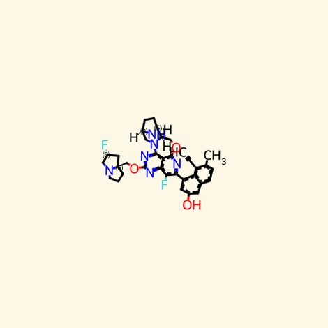 C#Cc1c(C)ccc2cc(O)cc(-c3nc4c5c(nc(OC[C@@]67CCCN6C[C@H](F)C7)nc5c3F)N3C[C@H]5CC[C@H](N5)[C@H]3CO4)c12